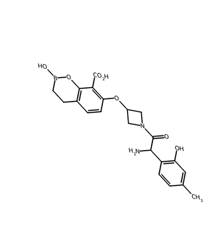 Cc1ccc(C(N)C(=O)N2CC(Oc3ccc4c(c3C(=O)O)OB(O)CC4)C2)c(O)c1